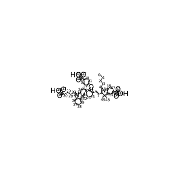 CCCCC[N+]1=C(/C=C/C2=C(Oc3ccc(S(=O)(=O)O)cc3)C(=C/C=C3/N(CCCCS(=O)(=O)O)c4ccccc4C3(C)C)/CCC2)C(C)(C)c2cc(S(=O)(=O)O)ccc21